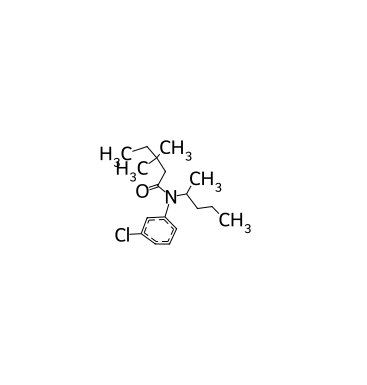 CCCC(C)N(C(=O)CC(C)(C)CC)c1cccc(Cl)c1